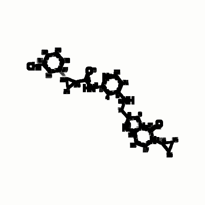 O=C(Nc1cc(NCc2cn3c(=O)n(C4CC4)ccc3n2)ccn1)[C@H]1C[C@@H]1c1cccc(Cl)c1